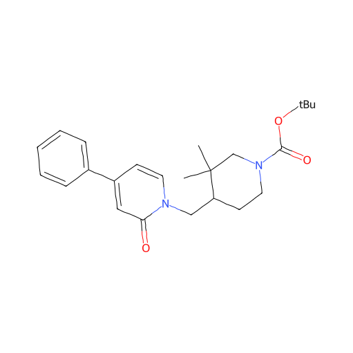 CC(C)(C)OC(=O)N1CCC(Cn2ccc(-c3ccccc3)cc2=O)C(C)(C)C1